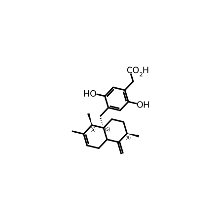 C=C1C2CC=C(C)[C@@H](C)[C@@]2(Cc2cc(O)c(CC(=O)O)cc2O)CC[C@H]1C